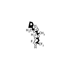 CC(C)(OC(=O)CC(O)(C(F)(F)F)C(F)(F)F)C(=O)OC(C)(C)C1CC2CCC1C2